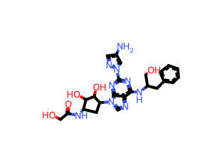 Nc1cnn(-c2nc(NC(CO)Cc3ccccc3)c3ncn(C4CC(NC(=O)CO)C(O)C4O)c3n2)c1